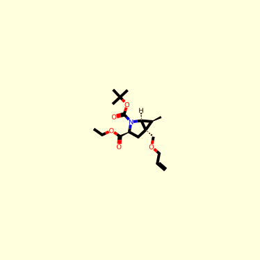 C=CCOC[C@]12C[C@@H](C(=O)OCC)N(C(=O)OC(C)(C)C)[C@H]1[C@H]2C